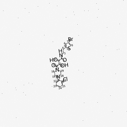 O=C(NCCc1cc(Br)cs1)[C@H](O)[C@@H](O)C(=O)N1CCN(c2ccccc2Cl)CC1